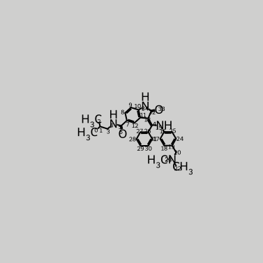 CC(C)CNC(=O)c1ccc2c(c1)/C(=C(/Nc1ccc(CN(C)C)cc1)c1ccccc1)C(=O)N2